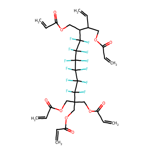 C=CC(=O)OCC(C=C)C(COC(=O)C=C)C(F)(F)C(F)(F)C(F)(F)C(F)(F)C(F)(F)C(F)(F)C(COC(=O)C=C)(COC(=O)C=C)COC(=O)C=C